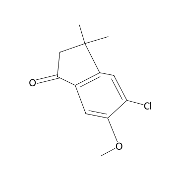 COc1cc2c(cc1Cl)C(C)(C)CC2=O